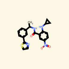 CC(NC(=O)c1cc([N+](=O)[O-])ccc1NC1CC1)c1cccc(-c2nccs2)c1